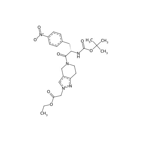 CCOC(=O)Cn1cc2c(n1)CCN(C(=O)[C@H](Cc1ccc([N+](=O)[O-])cc1)NC(=O)OC(C)(C)C)C2